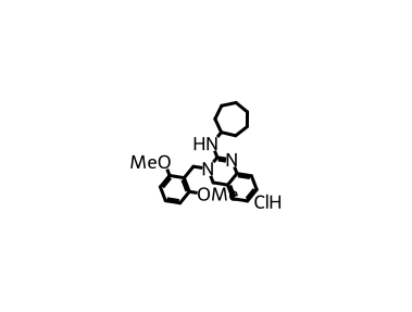 COc1cccc(OC)c1CN1Cc2ccccc2N=C1NC1CCCCCC1.Cl